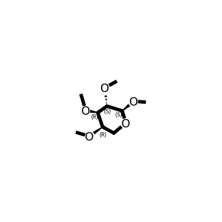 CO[C@H]1OC[C@@H](OC)[C@@H](OC)[C@@H]1OC